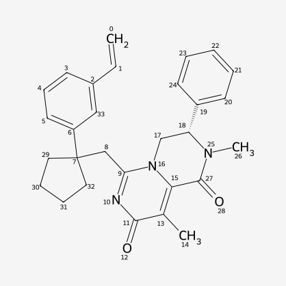 C=Cc1cccc(C2(Cc3nc(=O)c(C)c4n3C[C@H](c3ccccc3)N(C)C4=O)CCCC2)c1